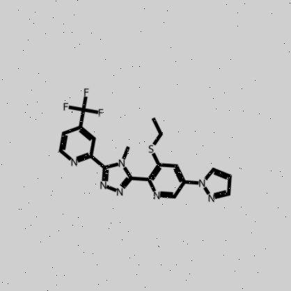 CCSc1cc(-n2cccn2)cnc1-c1nnc(-c2cc(C(F)(F)F)ccn2)n1C